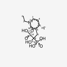 CC[n+]1cccc(CC(O)(P(=O)(O)O)S(=O)(=O)O)c1.[I-]